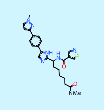 CNC(=O)CCCCCC(NC(=O)c1cnsc1)c1ncc(-c2ccc(-c3ccn(C)n3)cc2)[nH]1